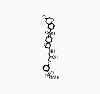 CNS(=O)(=O)c1cccc(OCC(O)CN[C@H]2COC3(CCN(S(=O)(=O)c4ccc5c(c4)NC(=O)CO5)CC3)C2)c1